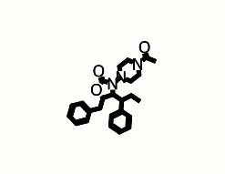 CCC(c1ccccc1)C1C(Cc2ccccc2)OC(=O)N1N1CCN(C(C)=O)CC1